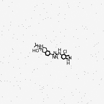 CC(C)NC(O)N1CCc2cc(-c3nc(Nc4ccc5[nH]ncc5c4Cl)n(C)n3)ccc2C1